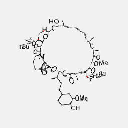 CO[C@H]1C(=O)[C@H](C)C[C@H](C)/C=C/C=C/C=C(\C)[C@@H](O)C[C@@H]2CC[C@@H](C)C(CO[Si](C)(C)C(C)(C)C)(O2)C(=O)C(=O)N2CCCC[C@H]2C(=O)O[C@H]([C@H](C)CC[C@@H]2CC[C@@H](O)[C@H](OC)C2)CC(=O)[C@H](C)/C=C(\C)C1O[Si](C)(C)C(C)(C)C